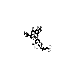 CC[C@@H]1CC(N(Cc2cc(C(F)(F)F)cc(C(F)(F)F)c2)c2ncc(-c3cnn(C)c3)cn2)C[C@H](CC)N1C(O)OCC(C)(C)CCC(=O)O